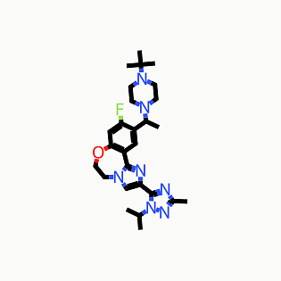 Cc1nc(-c2cn3c(n2)-c2cc(C(C)N4CCN(C(C)(C)C)CC4)c(F)cc2OCC3)n(C(C)C)n1